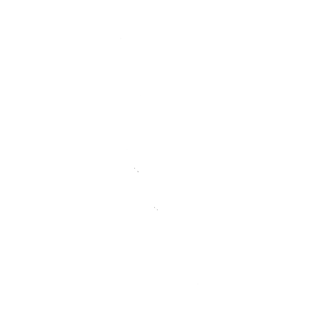 CCOC(=O)CCCCCC(=O)N1CCN(c2ccc(Cl)c(Cl)c2)CC1